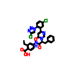 CCc1cc(NC(=O)C(Cc2ccccc2)n2cnc(-c3cc(Cl)ccc3-n3cc(Cl)nn3)cc2=O)ccc1C(=O)O